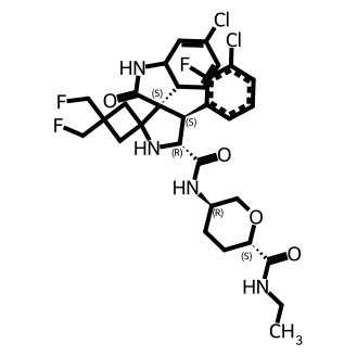 CCNC(=O)[C@@H]1CC[C@@H](NC(=O)[C@@H]2NC3(CC(CF)(CF)C3)[C@@]3(C(=O)NC4C=C(Cl)C=CC43)[C@H]2c2cccc(Cl)c2F)CO1